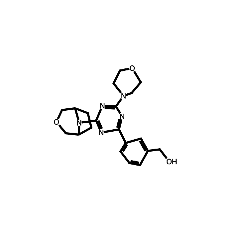 OCc1cccc(-c2nc(N3CCOCC3)nc(N3C4CCC3COC4)n2)c1